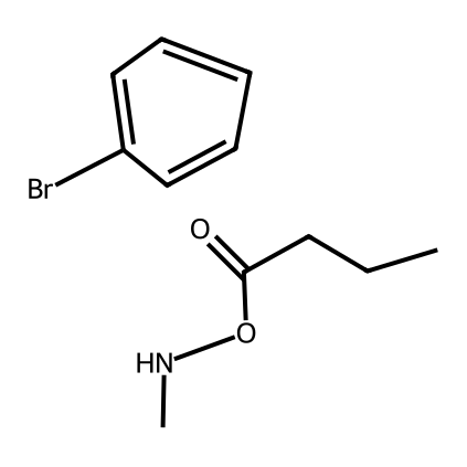 Brc1ccccc1.CCCC(=O)ONC